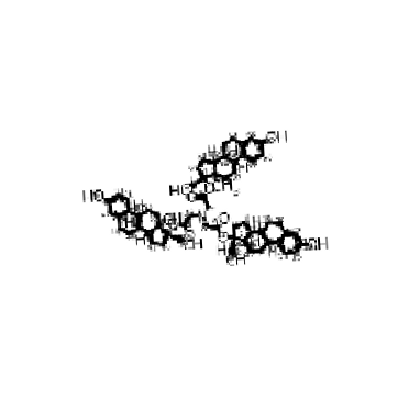 C#CC1(OC(=O)CN(CC(=O)OC2(C#C)CC[C@H]3[C@@H]4CCc5cc(O)ccc5[C@H]4CC[C@@]32C)CC(=O)OC2(C#C)CC[C@H]3[C@@H]4CCc5cc(O)ccc5[C@H]4CC[C@@]32C)CC[C@H]2[C@@H]3CCc4cc(O)ccc4[C@H]3CC[C@@]21C